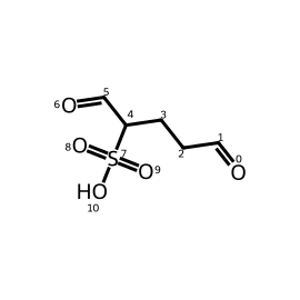 O=CCCC(C=O)S(=O)(=O)O